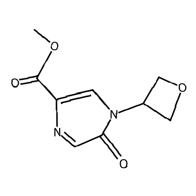 COC(=O)c1cn(C2COC2)c(=O)cn1